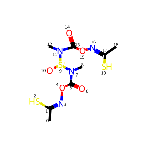 CC(S)=NOC(=O)N(C)[S+]([O-])N(C)C(=O)ON=C(C)S